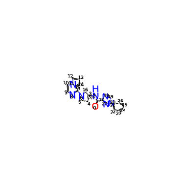 O=C(N[C@H]1CCN(c2nccn3cccc23)C1)c1ncn(-c2ccccc2)n1